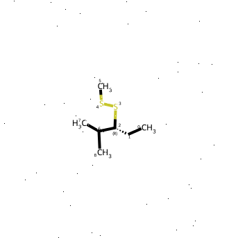 CC[C@@H](SSC)C(C)C